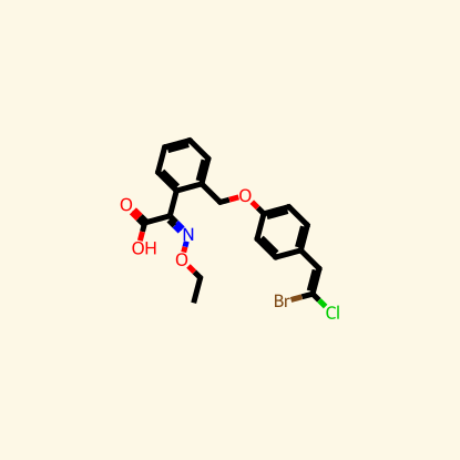 CCON=C(C(=O)O)c1ccccc1COc1ccc(C=C(Cl)Br)cc1